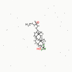 CCCC1(CCCC2CCC3C4CCC5C[C@](O)(C(F)(F)F)CCC5(C)C4CCC23C)CO1